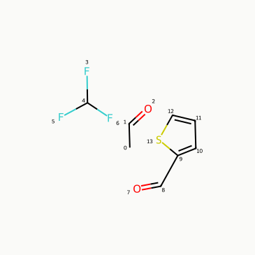 CC=O.FC(F)F.O=Cc1cccs1